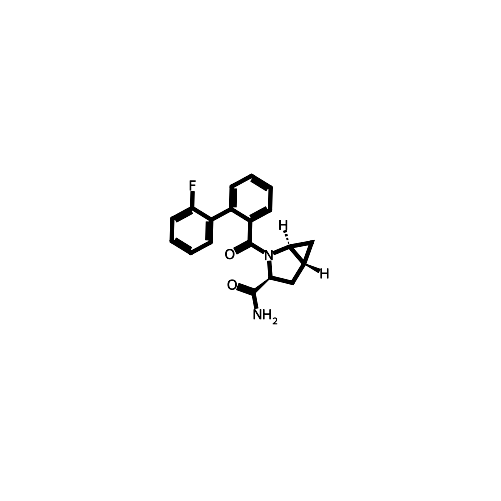 NC(=O)[C@@H]1C[C@H]2C[C@@H]2N1C(=O)c1ccccc1-c1ccccc1F